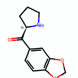 O=C(c1ccc2c(c1)OCO2)[C@H]1CCCN1